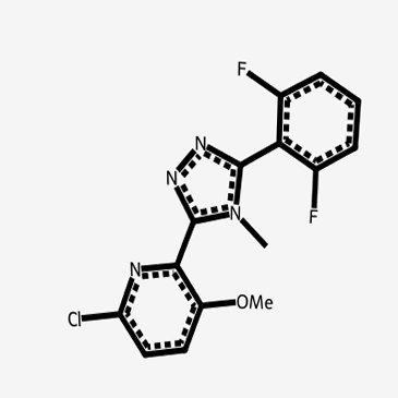 COc1ccc(Cl)nc1-c1nnc(-c2c(F)cccc2F)n1C